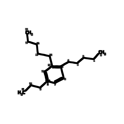 CCCCCc1cc[n+](CCC)cc1CCCCC